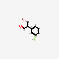 BC=C(C=O)c1cccc(F)c1